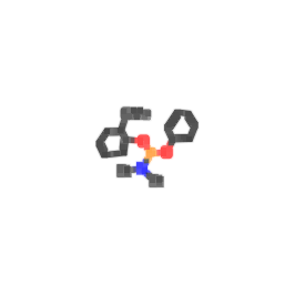 CCN(CC)P(Oc1ccccc1)Oc1ccccc1OC